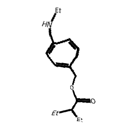 CCNc1ccc(COC(=O)C(CC)CC)cc1